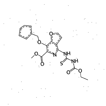 CCOC(=O)NC(=S)Nc1nc(C(=O)OC)c(OCc2ccccc2)c2occc12